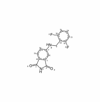 O=C1NC(=O)c2cc(NCc3c(F)cccc3F)ccc21